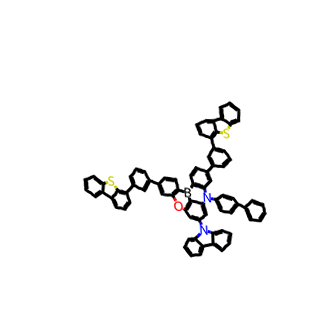 c1ccc(-c2ccc(N3c4cc(-c5cccc(-c6cccc7c6sc6ccccc67)c5)ccc4B4c5ccc(-c6cccc(-c7cccc8c7sc7ccccc78)c6)cc5Oc5cc(-n6c7ccccc7c7ccccc76)cc3c54)cc2)cc1